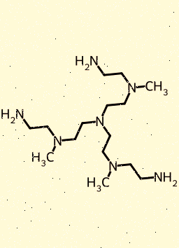 CN(CCN)CCN(CCN(C)CCN)CCN(C)CCN